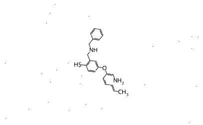 C/C=C/C=C\C(=C/N)Oc1ccc(S)c(CNCc2ccccc2)c1